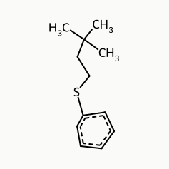 CC(C)(C)CCSc1ccccc1